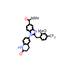 CNC(=O)c1ccc2c(c1)nc(Cc1ccc(C(F)(F)F)cc1OC)n2-c1ccc2c(c1)CCC(=O)N2